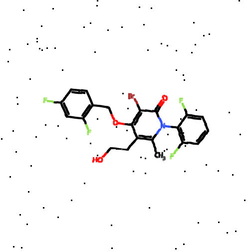 Cc1c(CCO)c(OCc2ccc(F)cc2F)c(Br)c(=O)n1-c1c(F)cccc1F